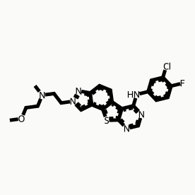 COCCN(C)CCn1cc2c(ccc3c2sc2ncnc(Nc4ccc(F)c(Cl)c4)c23)n1